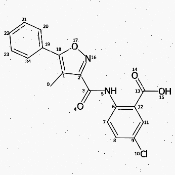 Cc1c(C(=O)Nc2ccc(Cl)cc2C(=O)O)noc1-c1ccccc1